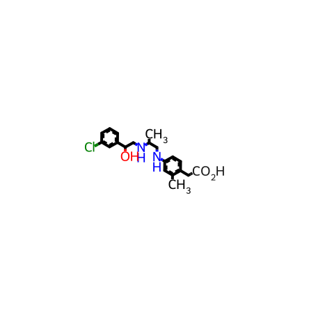 Cc1cc(NCC(C)NCC(O)c2cccc(Cl)c2)ccc1CC(=O)O